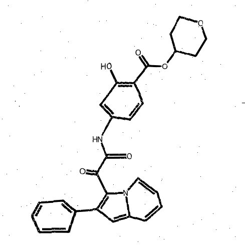 O=C(Nc1ccc(C(=O)OC2CCOCC2)c(O)c1)C(=O)c1c(-c2ccccc2)cc2ccccn12